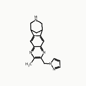 Cc1nc2cc3c(cc2nc1Cn1cccn1)C1CNCC3C1